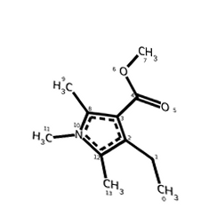 CCc1c(C(=O)OC)c(C)n(C)c1C